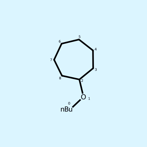 [CH2]CCCOC1CCCCCC1